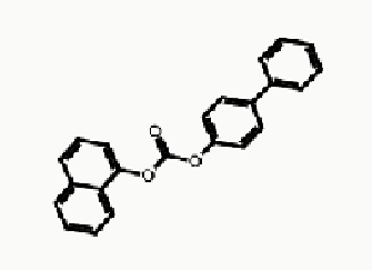 O=C(Oc1ccc(-c2ccccc2)cc1)Oc1cccc2ccccc12